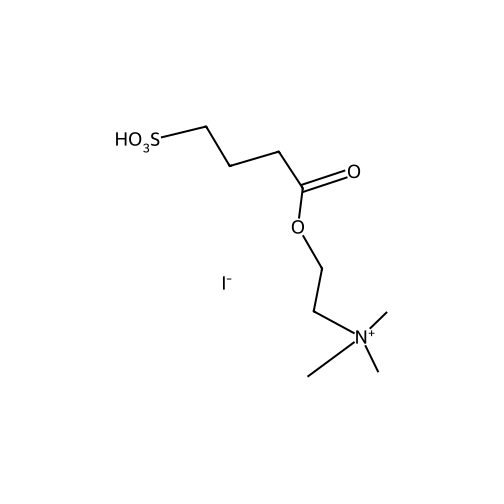 C[N+](C)(C)CCOC(=O)CCCS(=O)(=O)O.[I-]